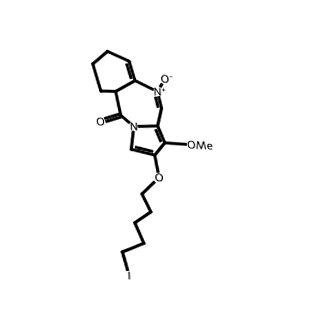 COc1c(OCCCCCI)cn2c1C=[N+]([O-])C1=CCCCC1C2=O